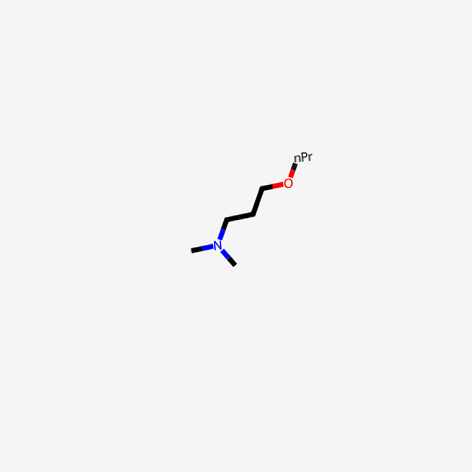 [CH2]CCOCCCN(C)C